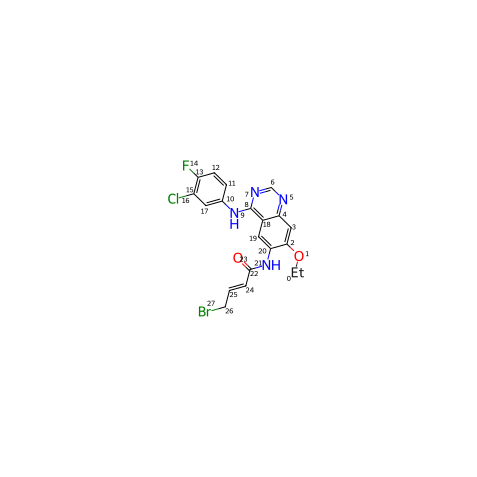 CCOc1cc2ncnc(Nc3ccc(F)c(Cl)c3)c2cc1NC(=O)C=CCBr